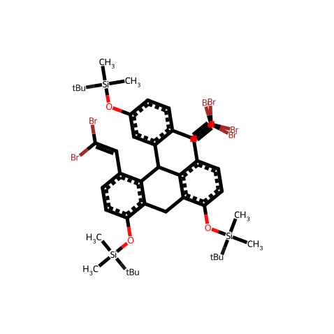 CC(C)(C)[Si](C)(C)Oc1ccc(C=C(Br)Br)c(C2c3c(C=C(Br)Br)ccc(O[Si](C)(C)C(C)(C)C)c3Cc3c(O[Si](C)(C)C(C)(C)C)ccc(C=C(Br)Br)c32)c1